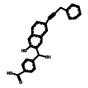 O=C(O)c1ccc(C(O)c2cc3cc(C#CCc4ccccc4)ccc3cc2O)cc1